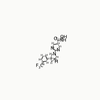 O=C(NO)c1cnc(N2C[C@H]3C[C@@]3(c3cccc(C(F)(F)F)c3)C2)nc1